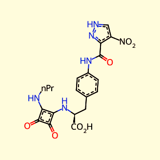 CCCNc1c(N[C@@H](Cc2ccc(NC(=O)c3n[nH]cc3[N+](=O)[O-])cc2)C(=O)O)c(=O)c1=O